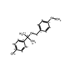 COc1ccc(COC(C)(C)c2cnc(Cl)cn2)cc1